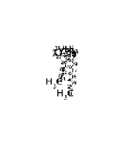 CCCCCCCCCCCC[n+]1ccn(Cc2ccccc2)c1CCCCCCCCC